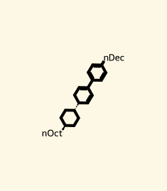 CCCCCCCCCCc1ccc(C2=CCC([C@H]3CC[C@H](CCCCCCCC)CC3)C=C2)cc1